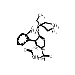 CC[Si](CC)(CC)OC1=CC[C@@H](C(=O)O)[C@H](C(=O)O)C1c1ccccc1C